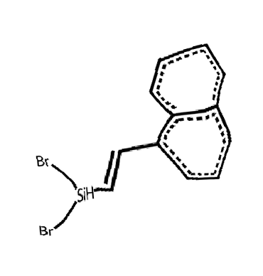 Br[SiH](Br)C=Cc1cccc2ccccc12